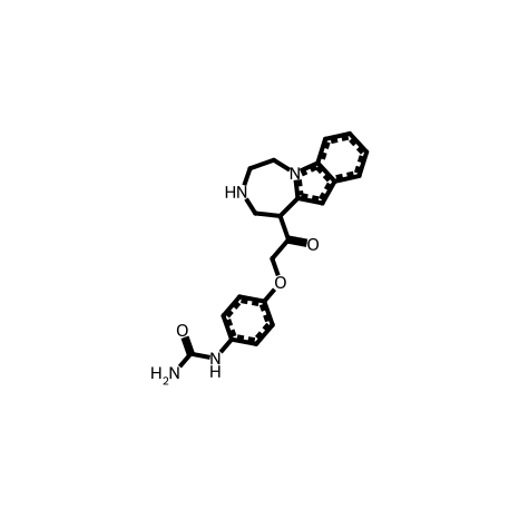 NC(=O)Nc1ccc(OCC(=O)C2CNCCn3c2cc2ccccc23)cc1